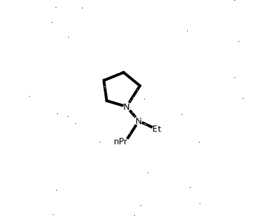 C[CH]CN(CC)N1CCCC1